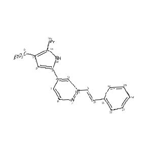 CCOC(=O)c1cc(-c2ccnc(C=Cc3ccccc3)c2)[nH]c1C(C)C